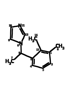 Cc1cccc(C(C)n2ccnc2)c1C